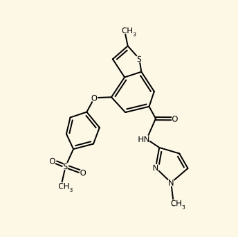 Cc1cc2c(Oc3ccc(S(C)(=O)=O)cc3)cc(C(=O)Nc3ccn(C)n3)cc2s1